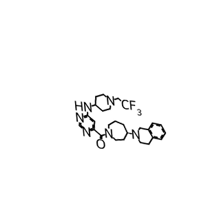 O=C(c1cc(NC2CCN(CC(F)(F)F)CC2)ncn1)N1CCC[C@@H](N2CCc3ccccc3C2)CC1